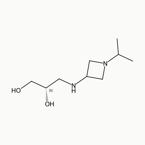 CC(C)N1CC(NC[C@H](O)CO)C1